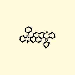 Fc1cc2ccc3c(N(c4ccccc4)c4ccccc4)c(F)cc4ccc(c1N(c1ccccc1)c1ccccc1)c2c43